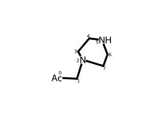 C[13C](=[18O])CN1CCNCC1